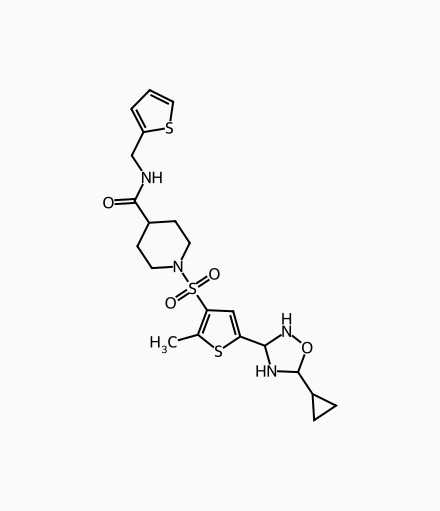 Cc1sc(C2NOC(C3CC3)N2)cc1S(=O)(=O)N1CCC(C(=O)NCc2cccs2)CC1